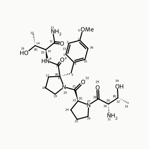 COc1ccc(C[C@@]2(C(=O)N[C@H](C(N)=O)[C@@H](C)O)CCCN2C(=O)[C@@H]2CCCN2C(=O)[C@@H](N)[C@@H](C)O)cc1